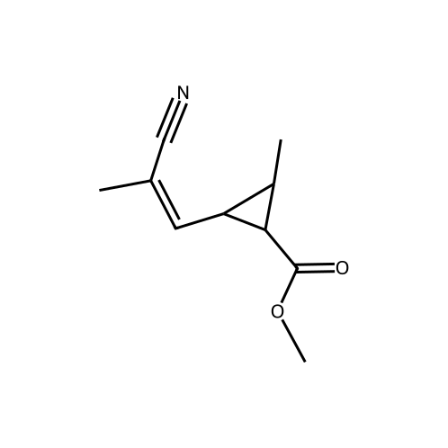 COC(=O)C1C(C)C1C=C(C)C#N